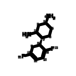 NC1C[C@@H](N)CC[C@@H]1C1CC(F)=CC=C1F